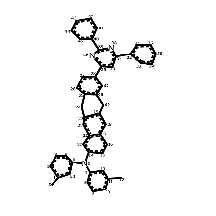 Cc1cccc(N(c2cccc(C)c2)c2ccc3cc4c(cc3c2)Cc2ccc(-c3cc(-c5ccccc5)nc(-c5ccccc5)n3)cc2C4)c1